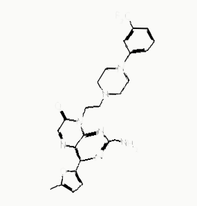 Cc1ccc(-c2nc(N)nc3c2ncc(=O)n3CCN2CCN(c3cccc(C(F)(F)F)c3)CC2)o1